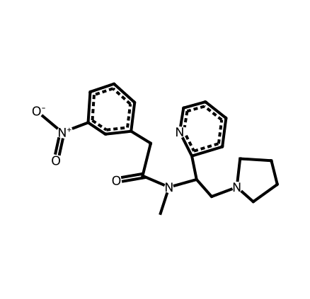 CN(C(=O)Cc1cccc([N+](=O)[O-])c1)C(CN1CCCC1)c1ccccn1